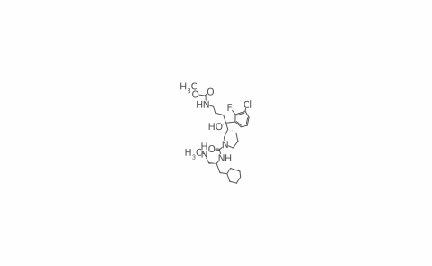 CNC[C@H](CC1CCCCC1)NC(=O)N1CCC[C@@H]([C@@](O)(CCCNC(=O)OC)c2cccc(Cl)c2F)C1